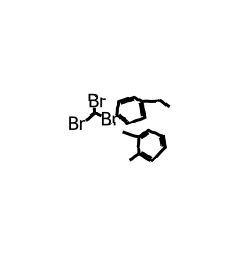 BrC(Br)Br.CCc1ccccc1.Cc1ccccc1C